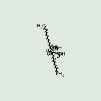 CCCCCCCCCCCCCC(CCC(C(=O)O)C(CCCCCCCCCCCCC)CCCC(=O)O)CC(O)CO